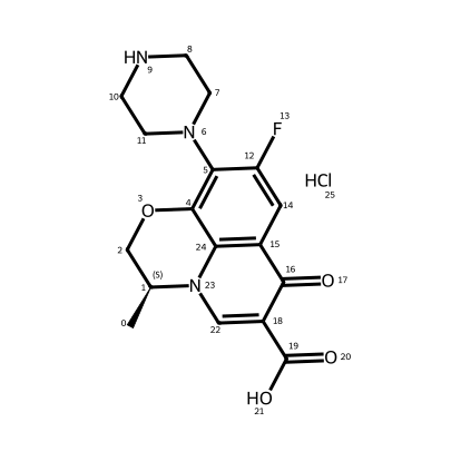 C[C@H]1COc2c(N3CCNCC3)c(F)cc3c(=O)c(C(=O)O)cn1c23.Cl